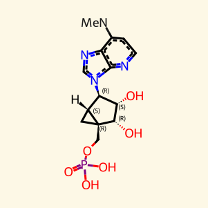 CNc1ccnc2c1ncn2[C@H]1[C@H](O)[C@H](O)[C@]2(COP(=O)(O)O)C[C@H]12